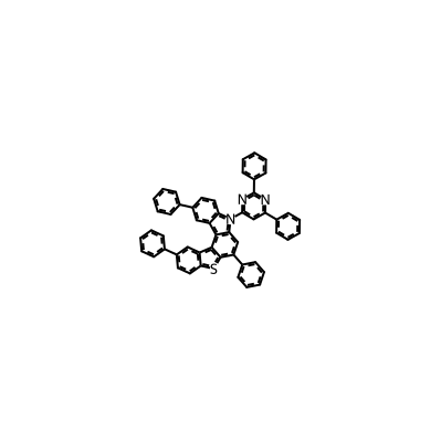 c1ccc(-c2ccc3sc4c(-c5ccccc5)cc5c(c6cc(-c7ccccc7)ccc6n5-c5cc(-c6ccccc6)nc(-c6ccccc6)n5)c4c3c2)cc1